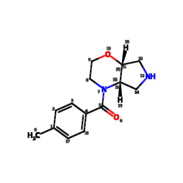 Cc1ccc(C(=O)N2CCO[C@@H]3CNC[C@@H]32)cc1